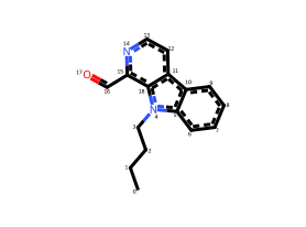 CCCCn1c2ccccc2c2ccnc(C=O)c21